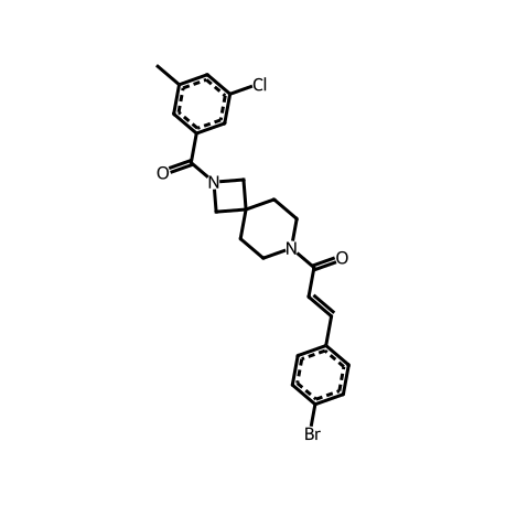 Cc1cc(Cl)cc(C(=O)N2CC3(CCN(C(=O)/C=C/c4ccc(Br)cc4)CC3)C2)c1